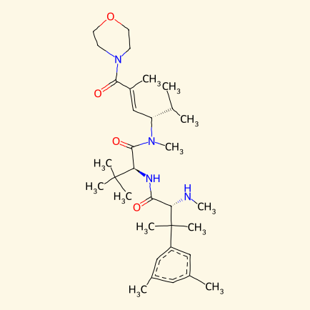 CN[C@@H](C(=O)N[C@H](C(=O)N(C)[C@H](/C=C(\C)C(=O)N1CCOCC1)C(C)C)C(C)(C)C)C(C)(C)c1cc(C)cc(C)c1